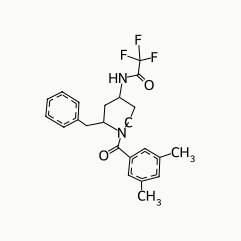 Cc1cc(C)cc(C(=O)N2CCC(NC(=O)C(F)(F)F)CC2Cc2ccccc2)c1